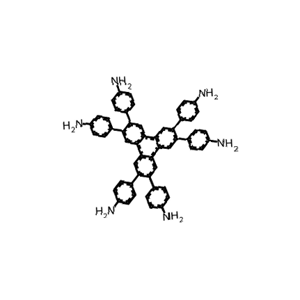 Nc1ccc(-c2cc3c4cc(-c5ccc(N)cc5)c(-c5ccc(N)cc5)cc4c4cc(-c5ccc(N)cc5)c(-c5ccc(N)cc5)cc4c3cc2-c2ccc(N)cc2)cc1